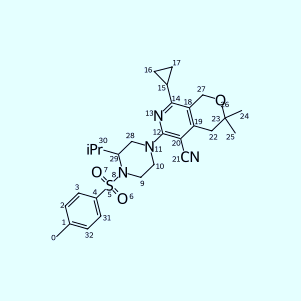 Cc1ccc(S(=O)(=O)N2CCN(c3nc(C4CC4)c4c(c3C#N)CC(C)(C)OC4)CC2C(C)C)cc1